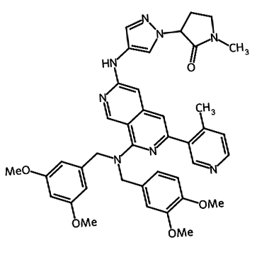 COc1cc(CN(Cc2ccc(OC)c(OC)c2)c2nc(-c3cnccc3C)cc3cc(Nc4cnn(C5CCN(C)C5=O)c4)ncc23)cc(OC)c1